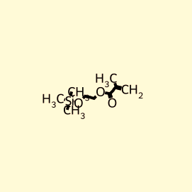 C=C(C)C(=O)OCCO[Si](C)(C)C